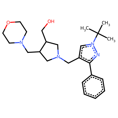 CC(C)(C)n1cc(CN2CC(CO)C(CN3CCOCC3)C2)c(-c2ccccc2)n1